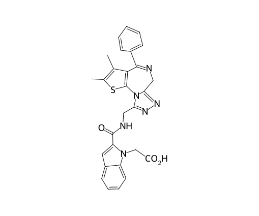 Cc1sc2c(c1C)C(c1ccccc1)=NCc1nnc(CNC(=O)c3cc4ccccc4n3CC(=O)O)n1-2